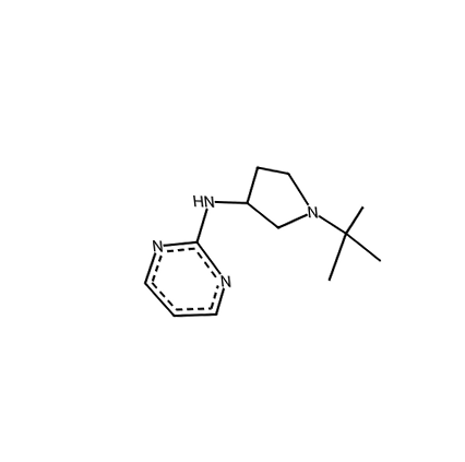 CC(C)(C)N1CCC(Nc2ncccn2)C1